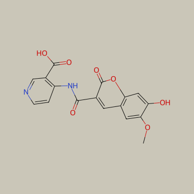 COc1cc2cc(C(=O)Nc3ccncc3C(=O)O)c(=O)oc2cc1O